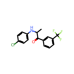 CC(Nc1ccc(Cl)cc1)C(=O)c1cccc(C(F)(F)F)c1